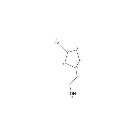 OCCC1CCC(S)C1